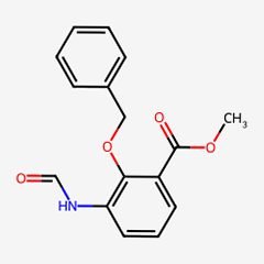 COC(=O)c1cccc(NC=O)c1OCc1ccccc1